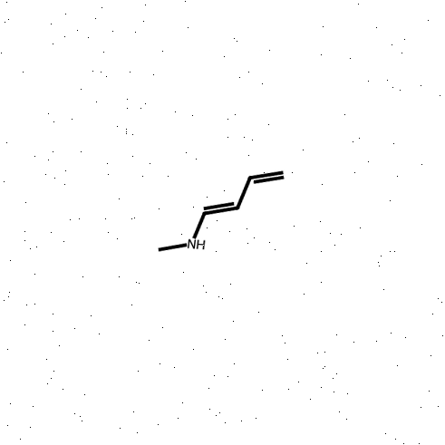 C=C/C=C/NC